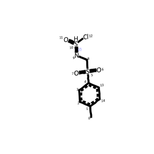 Cc1ccc(S(=O)(=O)C/N=[SH](=O)\Cl)cc1